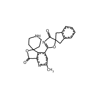 Cc1cc(C2=NC(=O)C3(Cc4ccccc4C3)O2)c2c(n1)C(=O)OC21CCNCC1